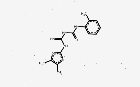 Cc1ccccc1NC(=O)NC(=N)Nc1nc(C)c(C)s1